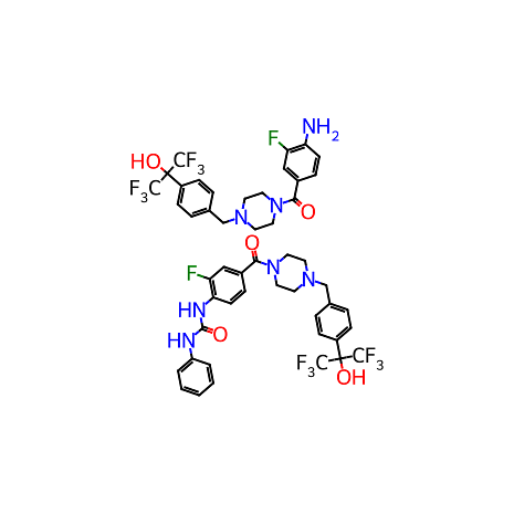 Nc1ccc(C(=O)N2CCN(Cc3ccc(C(O)(C(F)(F)F)C(F)(F)F)cc3)CC2)cc1F.O=C(Nc1ccccc1)Nc1ccc(C(=O)N2CCN(Cc3ccc(C(O)(C(F)(F)F)C(F)(F)F)cc3)CC2)cc1F